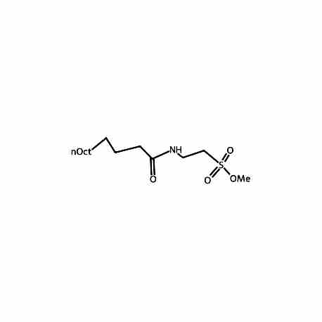 CCCCCCCCCCCC(=O)NCCS(=O)(=O)OC